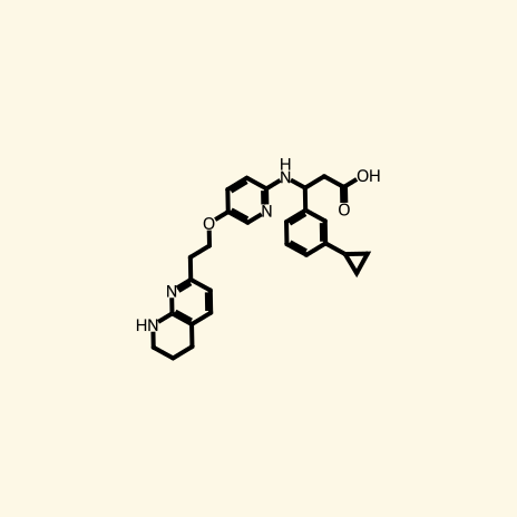 O=C(O)CC(Nc1ccc(OCCc2ccc3c(n2)NCCC3)cn1)c1cccc(C2CC2)c1